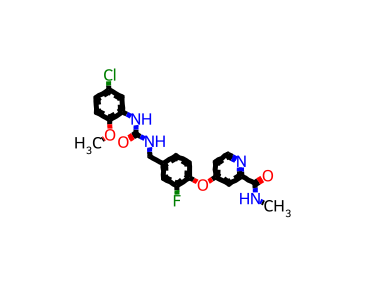 CNC(=O)c1cc(Oc2ccc(CNC(=O)Nc3cc(Cl)ccc3OC)cc2F)ccn1